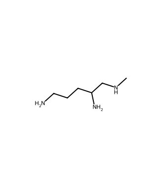 CNCC(N)CCCN